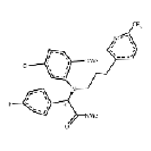 CNC(=O)[C@@H](c1ccc(F)cc1)N(CCCc1ccc(C(F)(F)F)nc1)c1cc(Cl)ccc1OC